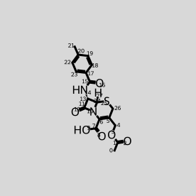 CC(=O)OCC1=C(C(=O)O)N2C(=O)[C@H](NC(=O)c3ccc(C)cc3)[C@@H]2SC1